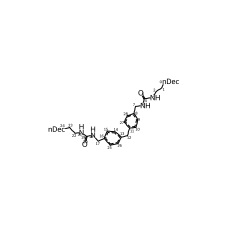 CCCCCCCCCCCCNC(=O)NCc1ccc(Cc2ccc(CNC(=O)NCCCCCCCCCCCC)cc2)cc1